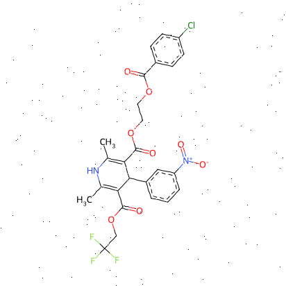 CC1=C(C(=O)OCCOC(=O)c2ccc(Cl)cc2)C(c2cccc([N+](=O)[O-])c2)C(C(=O)OCC(F)(F)F)=C(C)N1